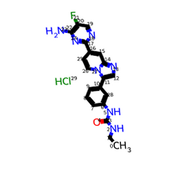 CCNC(=O)Nc1cccc(-c2cnc3cc(-c4ncc(F)c(N)n4)ccn23)c1.Cl